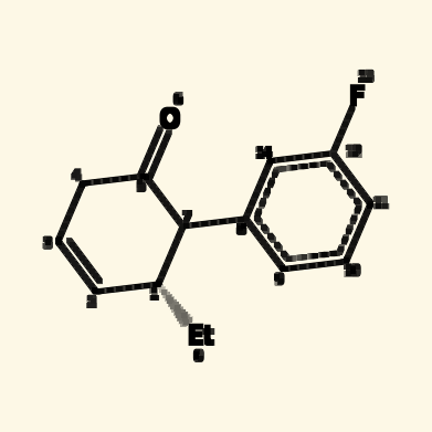 CC[C@@H]1C=CCC(=O)C1c1cccc(F)c1